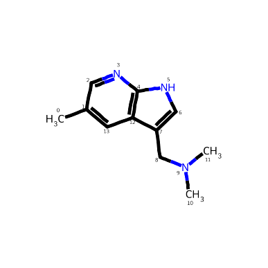 Cc1cnc2[nH]cc(CN(C)C)c2c1